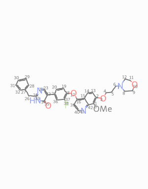 COc1c(OCCCN2CCOCC2)ccc2c(Oc3ccc(-c4cnc(Cc5ccccc5)[nH]c4=O)cc3F)ccnc12